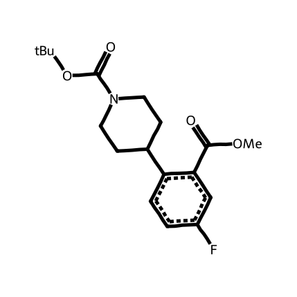 COC(=O)c1cc(F)ccc1C1CCN(C(=O)OC(C)(C)C)CC1